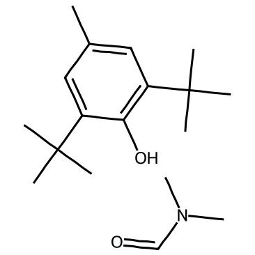 CN(C)C=O.Cc1cc(C(C)(C)C)c(O)c(C(C)(C)C)c1